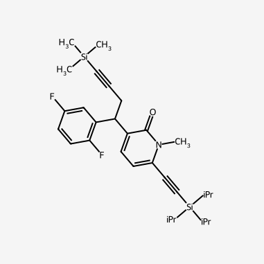 CC(C)[Si](C#Cc1ccc(C(CC#C[Si](C)(C)C)c2cc(F)ccc2F)c(=O)n1C)(C(C)C)C(C)C